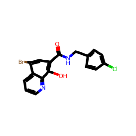 O=C(NCc1ccc(Cl)cc1)c1cc(Br)c2cccnc2c1O